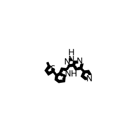 Cc1ccc(-c2cccc3[nH]c(-c4n[nH]c5ncc(-c6ccncc6)cc45)cc23)s1